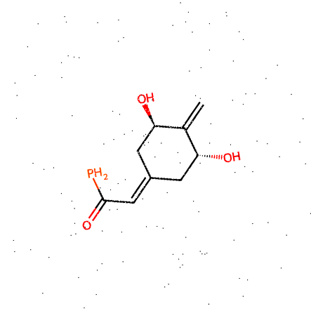 C=C1[C@H](O)CC(=CC(=O)P)C[C@H]1O